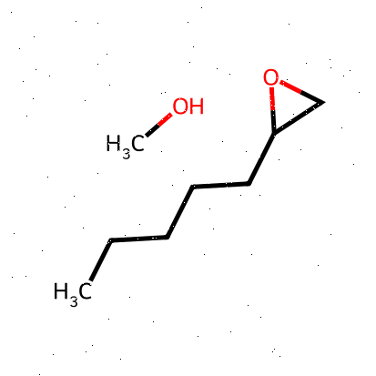 CCCCCC1CO1.CO